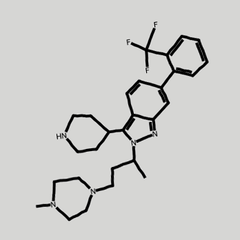 CC(CCN1CCN(C)CC1)n1nc2cc(-c3ccccc3C(F)(F)F)ccc2c1C1CCNCC1